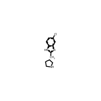 C1CCNC1.Cc1nc2cc(Cl)ccc2[nH]1